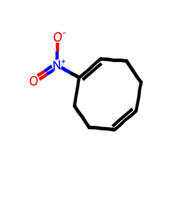 O=[N+]([O-])C1=CCCC=CCC1